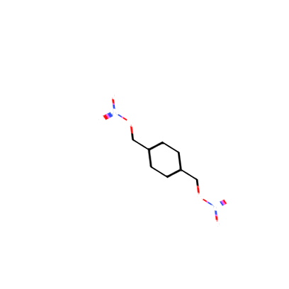 O=[N+]([O-])OCC1CCC(CO[N+](=O)[O-])CC1